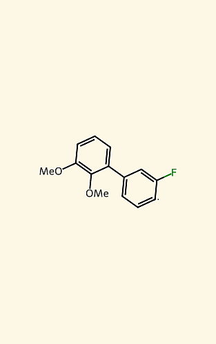 COc1cccc(-c2cc[c]c(F)c2)c1OC